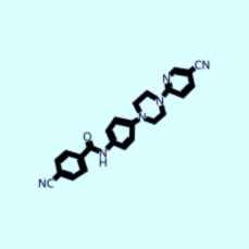 N#Cc1ccc(C(=O)Nc2ccc(N3CCN(c4ccc(C#N)cn4)CC3)cc2)cc1